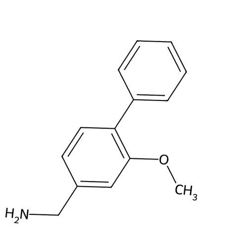 COc1cc(CN)ccc1-c1ccccc1